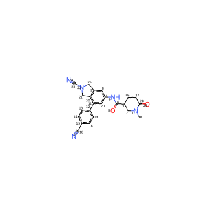 CN1CC(C(=O)Nc2cc3c(c(-c4ccc(C#N)cc4)c2)CN(C#N)C3)CCC1=O